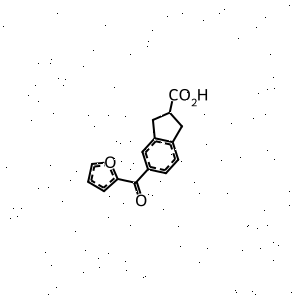 O=C(c1ccc2c(c1)CC(C(=O)O)C2)c1ccco1